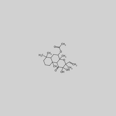 C=CC1(C)OC2(C)C(OC(C)=O)CC3C(C)(C)CCCC3(C)C2C(=O)C1(O)O